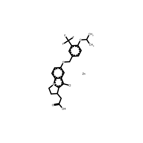 CC(C)Oc1ccc(COc2ccc3c(c2)c(Cl)c2n3CCC2CC(=O)O)cc1C(F)(F)F.[Zn]